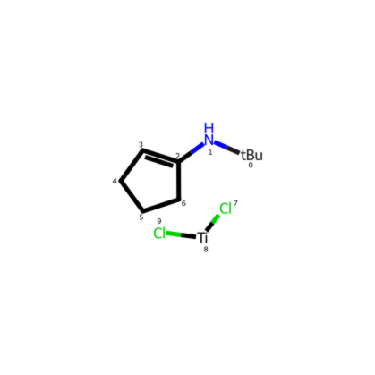 CC(C)(C)NC1=CCCC1.[Cl][Ti][Cl]